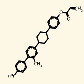 C=CC(=O)Oc1ccc(C2CCC(c3ccc(-c4ccc(CCC)cc4)c(C)c3)CC2)cc1